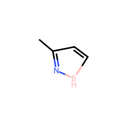 CC1=NBC=C1